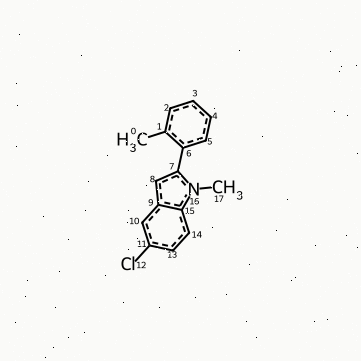 Cc1ccccc1-c1cc2cc(Cl)ccc2n1C